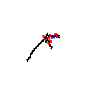 CCCCCCCCCCCCCCCCCCOC(=O)C(CC(C)C(=O)OCCNC(=O)OC(C)(C)C)CC(CC)C(=O)OCCCC